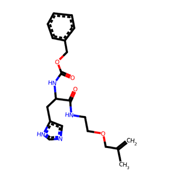 C=C(C)COCCNC(=O)C(Cc1cnc[nH]1)NC(=O)OCc1ccccc1